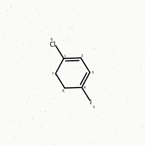 ClC1=CC=C(I)C[CH]1